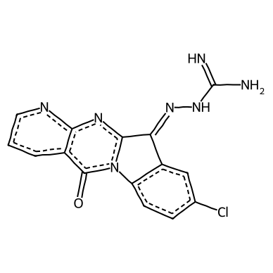 N=C(N)NN=C1c2cc(Cl)ccc2-n2c1nc1ncccc1c2=O